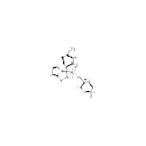 N#Cc1ccc(C2(C(=O)OCc3ccc(F)cc3)CCc3cncn32)c(Cl)c1